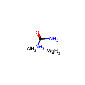 NC(N)=O.[AlH3].[MgH2]